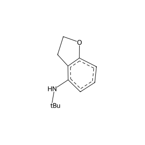 CC(C)(C)Nc1cccc2c1CCO2